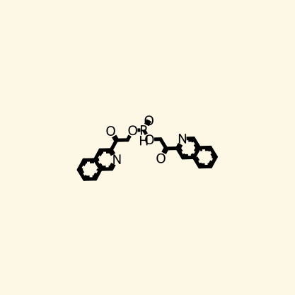 O=C(CO[PH](=O)OCC(=O)c1cc2ccccc2cn1)c1cc2ccccc2cn1